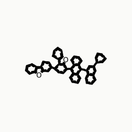 c1ccc(-c2cc(-c3c4ccccc4c(-c4ccc(-c5ccc6c(c5)oc5ccccc56)c5c4oc4ccccc45)c4ccccc34)c3ccccc3c2)cc1